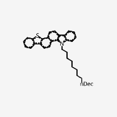 CCCCCCCCCCCCCCCCCCn1c2ccccc2c2ccc3c(ccc4c5ccccc5sc43)c21